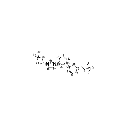 CC(C)(C)CCC1=CC=CC(c2cccc(-n3cc[n+](CCC(C)(C)C)c3)c2)C1